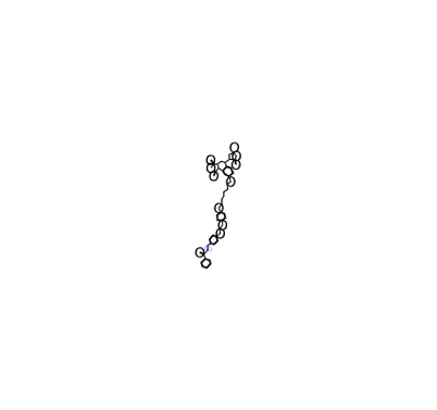 O=C1CC(C2CC3C(=O)OC(=O)C3c3cc(OCCCCCCOc4ccc(OCOc5ccc(/C=C/C(=O)c6ccccc6)cc5)cc4)ccc32)C(=O)O1